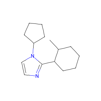 CC1CCCCC1c1nccn1C1CCCC1